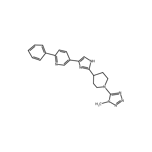 Cn1nnnc1N1CCC(c2nc(-c3ccc(-c4ccccc4)nc3)c[nH]2)CC1